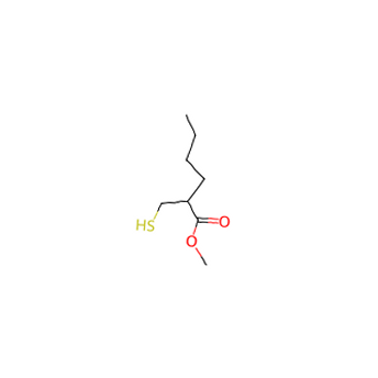 CCCCC(CS)C(=O)OC